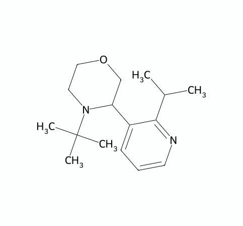 CC(C)c1ncccc1C1COCCN1C(C)(C)C